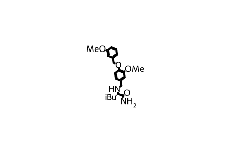 CCC(C)[C@H](NCc1ccc(OCc2cccc(OC)c2)c(OC)c1)C(N)=O